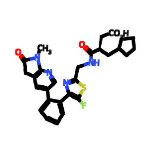 CN1C(=O)Cc2cc(-c3ccccc3-c3nc(CNC(=O)[C@@H](CC(=O)O)CC4CCCC4)sc3F)cnc21